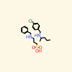 CCCC(C)NCc1ccc(Cl)cc1.O=S(=O)(O)CCCNCc1ccccc1